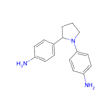 Nc1ccc(C2CCCN2c2ccc(N)cc2)cc1